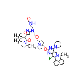 CCc1cccc2cccc(-c3ncc4c(N5CCCCCC5)nc(OCC56CCCN5C(COCCN(CCNC=O)c5cc(C(C(=O)N7CCCC7C)C(C)C)on5)CC6)nc4c3F)c12